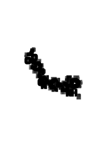 CC(C)OC(=O)N1CCC(OCc2nc(-c3cnc(N4C[C@H](c5ccccc5F)[C@@H](N)C4)nc3)no2)CC1